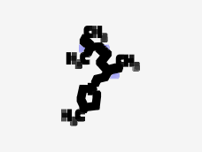 C/C=C(C)\C=C/C/C(=C\C)CCB1CCC(C)CC1